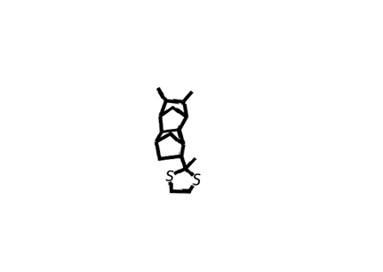 CC1C(C)C2CC1C1C3CC(C21)C(C1(C)SCCS1)C3